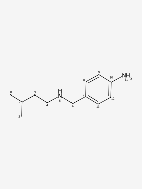 CC(C)CCNCc1ccc(N)cc1